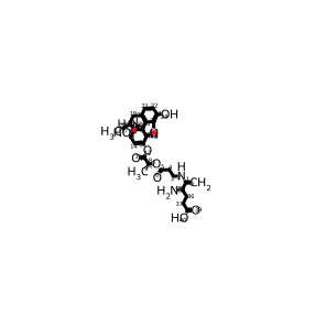 C=C(NCCC(=O)O[C@@H](C)C(=O)OC1=CC[C@@]2(O)[C@H]3Cc4ccc(O)c5c4[C@@]2(CCN3C)[C@H]1O5)[C@@H](N)CCC(=O)O